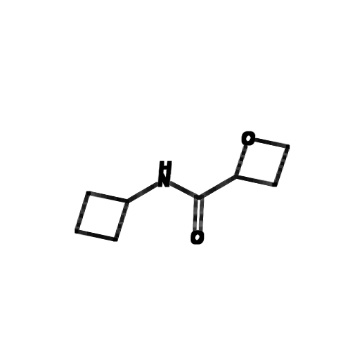 O=C(NC1CCC1)C1CCO1